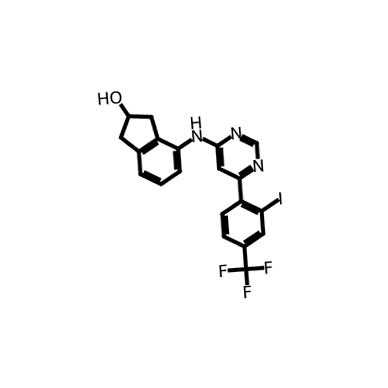 OC1Cc2cccc(Nc3cc(-c4ccc(C(F)(F)F)cc4I)ncn3)c2C1